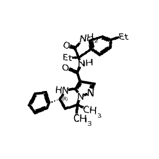 CCc1ccc(C(CC)(NC(=O)c2cnn3c2N[C@@H](c2ccccc2)CC3(C)C)C(N)=O)cc1